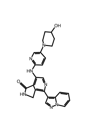 O=C1NCc2c(-c3cnn4ccccc34)ncc(Nc3ccc(N4CCC(O)CC4)cn3)c21